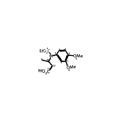 CCOC(=O)N(c1ccc(OC)c(OC)c1)C(C)CC(=O)O